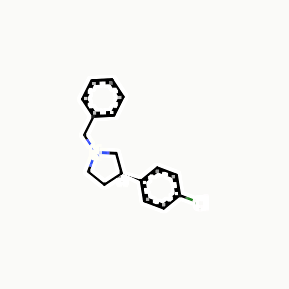 Clc1ccc([C@H]2CCN(Cc3ccccc3)C2)cc1